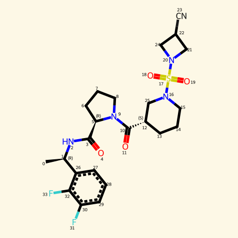 C[C@@H](NC(=O)[C@H]1CCCN1C(=O)[C@H]1CCCN(S(=O)(=O)N2CC(C#N)C2)C1)c1cccc(F)c1F